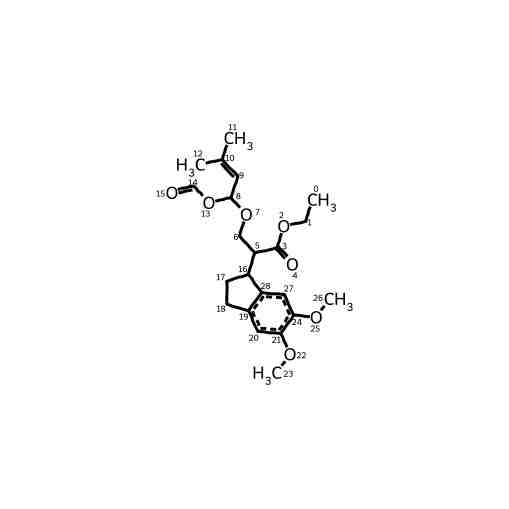 CCOC(=O)C(COC(C=C(C)C)OC=O)C1CCc2cc(OC)c(OC)cc21